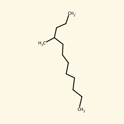 [CH2]CCC(C)CCCCCCCC